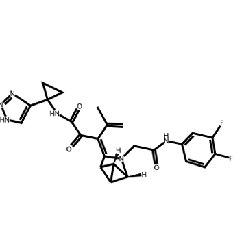 C=C(C)/C(C(=O)C(=O)NC1(c2c[nH]nn2)CC1)=C1/C2C3[C@H]2[C@@H]3N1CC(=O)Nc1ccc(F)c(F)c1